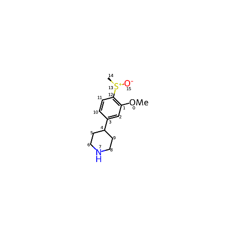 COc1cc(C2CCNCC2)ccc1[S@@+](C)[O-]